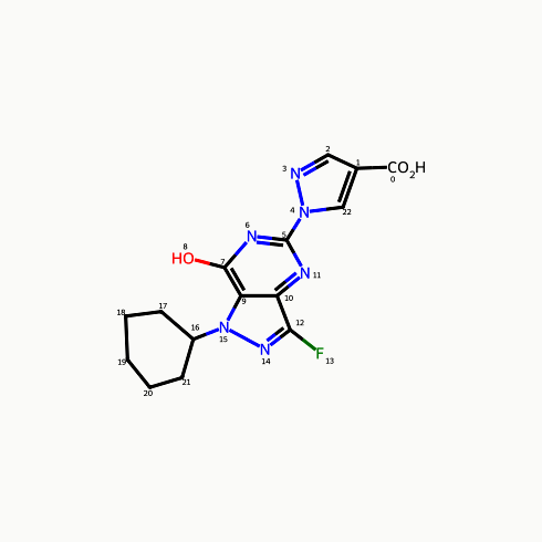 O=C(O)c1cnn(-c2nc(O)c3c(n2)c(F)nn3C2CCCCC2)c1